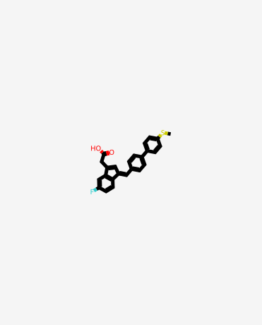 CSc1ccc(-c2ccc(/C=C3\C=C(CC(=O)O)c4cc(F)ccc43)cc2)cc1